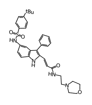 CC(C)(C)c1ccc(S(=O)(=O)Nc2ccc3[nH]c(C=CC(=O)NCCN4CCOCC4)c(-c4ccccc4)c3c2)cc1